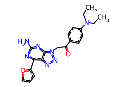 CCN(CC)c1ccc(C(=O)Cn2nnc3c(-c4ccco4)nc(N)nc32)cc1